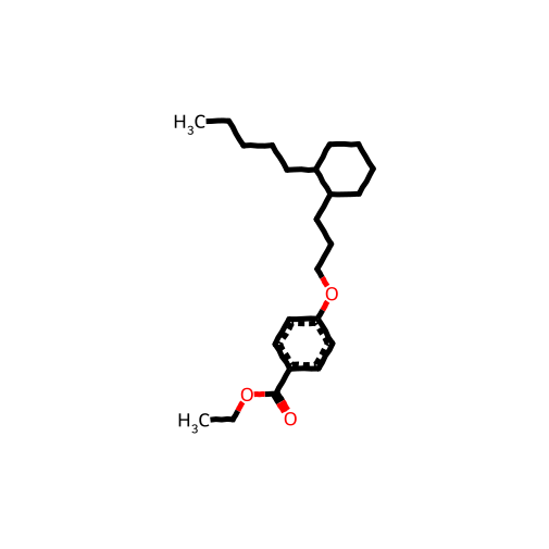 CCCCCC1CCCCC1CCCOc1ccc(C(=O)OCC)cc1